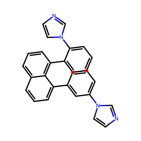 [c]1cc(-c2ccccc2-n2ccnc2)c2c(-c3cccc(-n4ccnc4)c3)cccc2c1